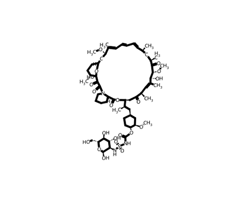 CO[C@H]1C[C@@H]2CC[C@@H](C)[C@@](O)(O2)C(=O)C(=O)N2CCCC[C@H]2C(=O)O[C@H]([C@H](C)C[C@@H]2CC[C@@H](OC(=O)NS(=O)(=O)N[C@@H]3[C@@H](O)[C@H](O)[C@@H](CO)O[C@@H]3O)[C@H](OC)C2)CC(=O)[C@H](C)/C=C(\C)[C@@H](O)[C@@H](OC)C(=O)[C@H](C)C[C@H](C)/C=C/C=C/C=C/1C